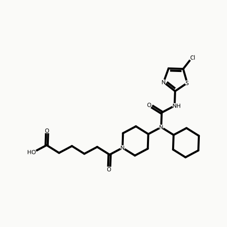 O=C(O)CCCCC(=O)N1CCC(N(C(=O)Nc2ncc(Cl)s2)C2CCCCC2)CC1